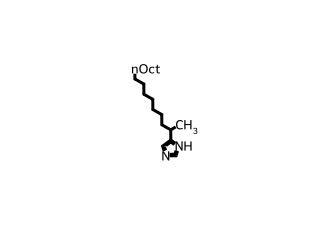 CCCCCCCCCCCCCCCC(C)c1cnc[nH]1